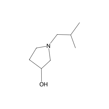 CC(C)CN1CCC(O)C1